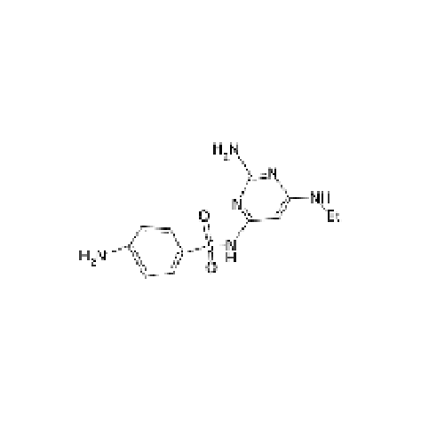 CCNc1cc(NS(=O)(=O)c2ccc(N)cc2)nc(N)n1